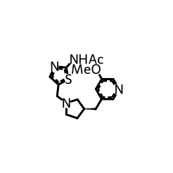 COc1cncc(C[C@H]2CCN(Cc3cnc(NC(C)=O)s3)C2)c1